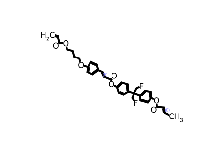 C=CC(=O)OCCCCOc1ccc(/C=C/C(=O)Oc2ccc(C(CF)(CF)c3ccc(OC(=O)/C=C/C)cc3)cc2)cc1